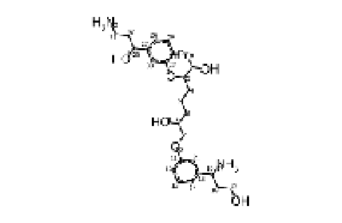 CCCC(O)C(CCCC(O)COc1cccc(C(N)CCO)c1)Oc1cccc(C(O)CCN)c1